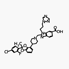 CC1(c2ccc(Cl)cc2F)Oc2cccc(C3CCN(Cc4nc5ccc(C(=O)O)cc5n4CCCn4cncn4)CC3)c2O1